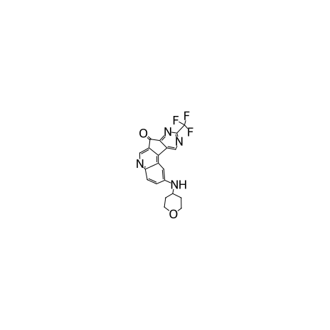 O=C1c2cnc3ccc(NC4CCOCC4)cc3c2-c2cnc(C(F)(F)F)nc21